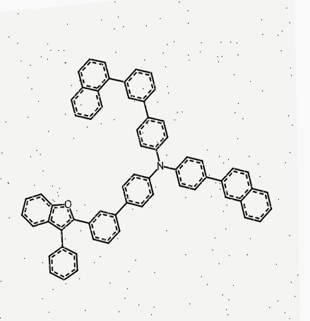 c1ccc(-c2c(-c3cccc(-c4ccc(N(c5ccc(-c6cccc(-c7cccc8ccccc78)c6)cc5)c5ccc(-c6ccc7ccccc7c6)cc5)cc4)c3)oc3ccccc23)cc1